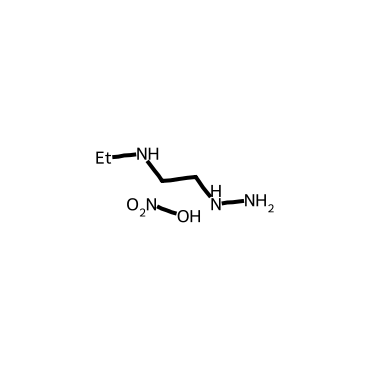 CCNCCNN.O=[N+]([O-])O